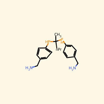 CCCC(C)(Pc1ccc(CN)cc1)Pc1ccc(CN)cc1